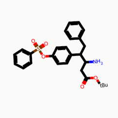 CC(C)(C)OC(=O)CC(N)C(Cc1ccccc1)c1ccc(OS(=O)(=O)c2ccccc2)cc1